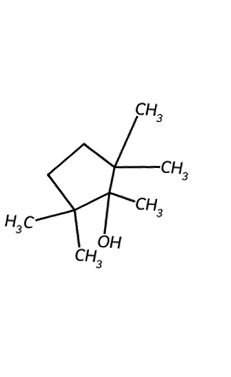 CC1(C)CCC(C)(C)C1(C)O